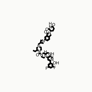 CCC1CN(CC2CN(c3ccc4c(c3)C(=O)N(C3CCC(=O)NC3=O)C4)C2)CCN1C(=O)N1CCN2c3cc(-c4cc(F)cc(F)c4O)nnc3NC[C@H]2C1